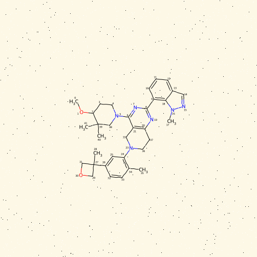 COC1CCN(c2nc(-c3cccc4cnn(C)c34)nc3c2CN(c2cc(C4(C)COC4)ccc2C)CC3)CC1(C)C